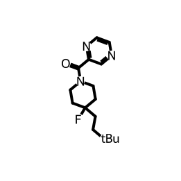 CC(C)(C)CCC1(F)CCN(C(=O)c2cnccn2)CC1